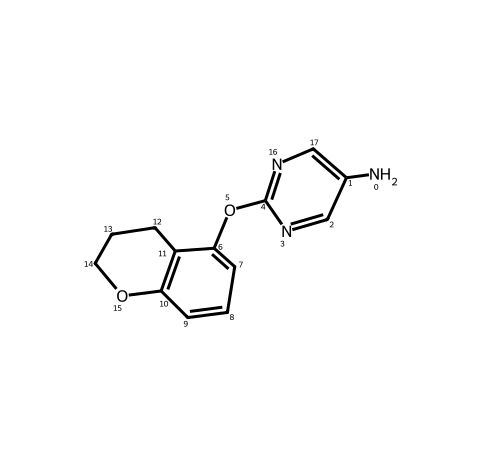 Nc1cnc(Oc2cccc3c2CCCO3)nc1